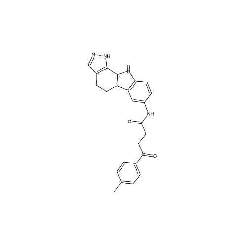 Cc1ccc(C(=O)CCC(=O)Nc2ccc3[nH]c4c(c3c2)CCc2cn[nH]c2-4)cc1